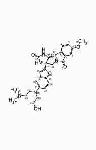 COc1ccc2c(c1)C(=O)N(C[C@@]1(c3cc4nc(N(CCO)CCN(C)C)ccc4o3)NC(=O)NC1=O)C2